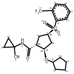 N#CC1(NC(=O)[C@@H]2C[C@@H](S(=O)(=O)c3ccccc3C(F)(F)F)C[C@H]2OC2CCCC2)CC1